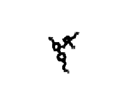 CCc1c(Oc2cc(C#N)ccc2-c2ncc(CCN)cn2)cnn1CC(C)C